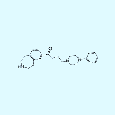 O=C(CCCN1CCN(c2ccccc2)CC1)c1ccc2c(c1)CCNCC2